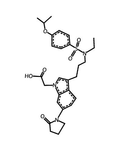 CCN(CCCc1cn(CC(=O)O)c2cc(N3CCCC3=O)ccc12)S(=O)(=O)c1ccc(OC(C)C)cc1